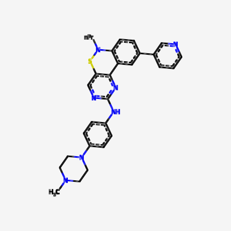 CCCN1Sc2cnc(Nc3ccc(N4CCN(C)CC4)cc3)nc2-c2cc(-c3cccnc3)ccc21